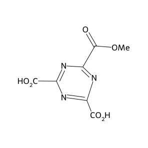 COC(=O)c1nc(C(=O)O)nc(C(=O)O)n1